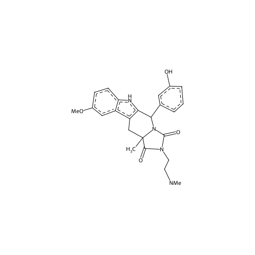 CNCCN1C(=O)N2C(c3cccc(O)c3)c3[nH]c4ccc(OC)cc4c3CC2(C)C1=O